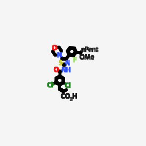 CCCCCC(OC)c1cccc(-c2nc(NC(=O)c3cc(Cl)c(C=C(C)C(=O)O)c(Cl)c3)sc2N2CCOCC2)c1F